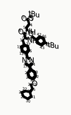 CC(C)(C)OC(=O)CCNC(=O)[C@H](Cc1ccc(-c2ncc(-c3ccc(OCCC4CCCCC4)cc3)cn2)cc1)NC(=O)c1ccc(C(C)(C)C)cc1